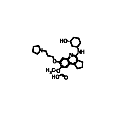 COc1cc2c3c(c(N[C@@H]4CCC[C@@H](O)C4)nc2cc1OCCCN1CCCC1)CCC3.O=CO